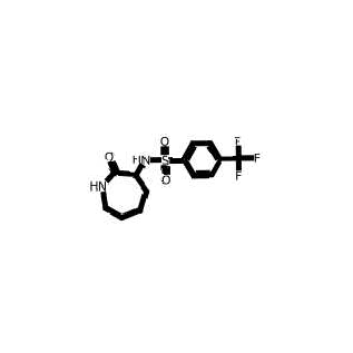 O=C1NCCCCC1NS(=O)(=O)c1ccc(C(F)(F)F)cc1